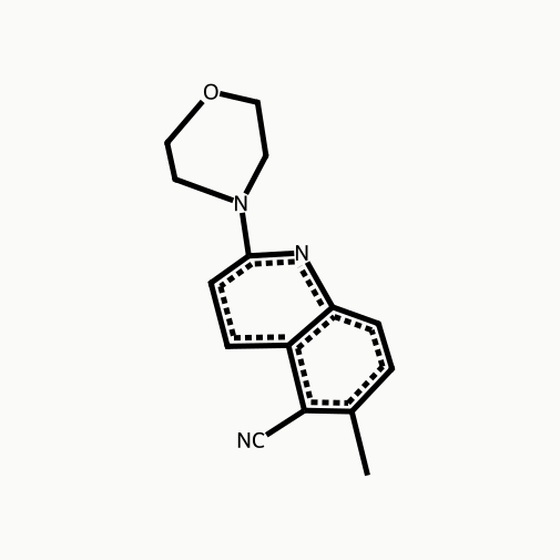 Cc1ccc2nc(N3CCOCC3)ccc2c1C#N